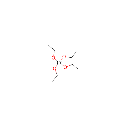 CC[O][Cr]([O]CC)([O]CC)[O]CC